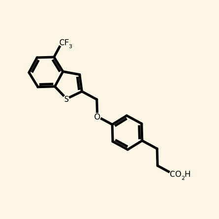 O=C(O)CCc1ccc(OCc2cc3c(C(F)(F)F)cccc3s2)cc1